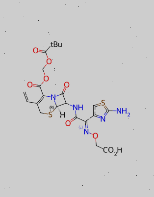 C=CC1=C(C(=O)OCOC(=O)C(C)(C)C)N2C(=O)C(NC(=O)/C(=N/OCC(=O)O)c3csc(N)n3)[C@H]2SC1